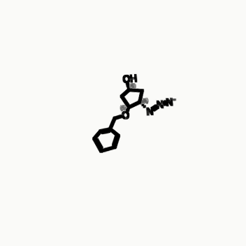 [N-]=[N+]=N[C@H]1C[C@H](O)C[C@@H]1OCc1ccccc1